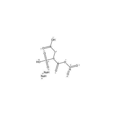 O=C(O)CC(C(=O)O[SH](=O)=O)S(=O)(=O)O.[NaH].[NaH]